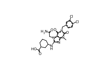 Cn1c(=O)n(Cc2ccc(Cl)c(Cl)c2)c(=O)c2c1nc(NC1CCCC(C(=O)O)C1)n2CC(N)=O